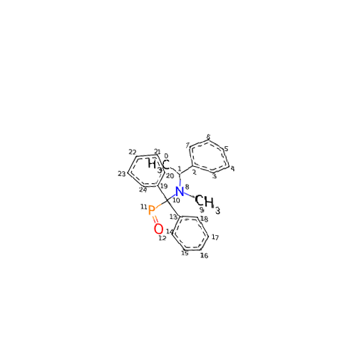 CC(c1ccccc1)N(C)C(P=O)(c1ccccc1)c1ccccc1